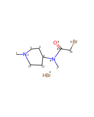 Br.CN1CCC(N(C)C(=O)CBr)CC1